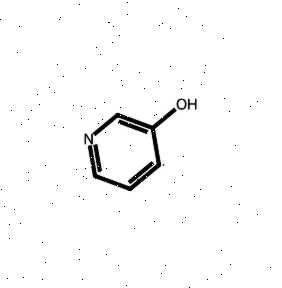 Oc1[c]ccnc1